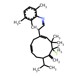 C=C1C(C(C)C)C/C=C\C/C(C/C=N\c2c(C)ccc(C)c2C)=C\C(C)(C)C1(C)F